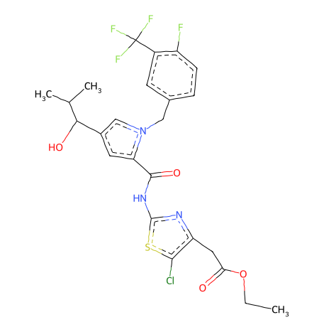 CCOC(=O)Cc1nc(NC(=O)c2cc(C(O)C(C)C)cn2Cc2ccc(F)c(C(F)(F)F)c2)sc1Cl